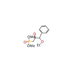 CCOC(C(=O)CP(=O)(OC)OC)c1ccccc1